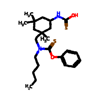 CCCCCN(CC1(C)CC(NC(O)=S)CC(C)(C)C1)C(=S)Oc1ccccc1